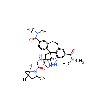 CN(C)C(=O)c1ccc2c(c1)CCc1cc(C(=O)N(C)C)ccc1C2(CC1(NCC(=O)N2C(C#N)C[C@@H]3C[C@@H]32)CCCC1)c1nnn[nH]1